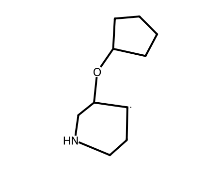 [CH]1CCNCC1OC1CCCC1